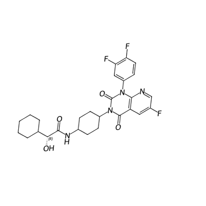 O=C(NC1CCC(n2c(=O)c3cc(F)cnc3n(-c3ccc(F)c(F)c3)c2=O)CC1)[C@H](O)C1CCCCC1